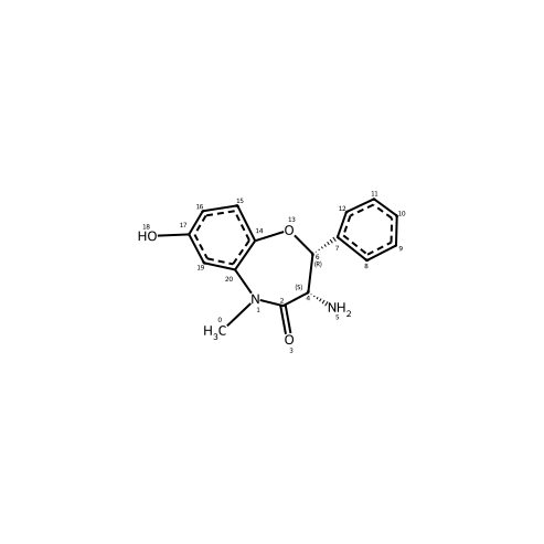 CN1C(=O)[C@@H](N)[C@@H](c2ccccc2)Oc2ccc(O)cc21